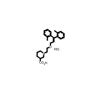 Cc1ccccc1C(=CCOCCN1CCCC(C(=O)O)C1)c1ccccc1C.Cl